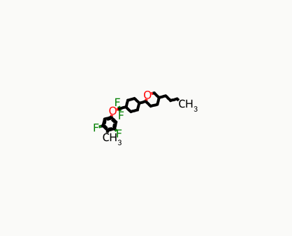 CCCCC1CCC(C2CCC(C(F)(F)Oc3cc(F)c(C)c(F)c3)CC2)OC1